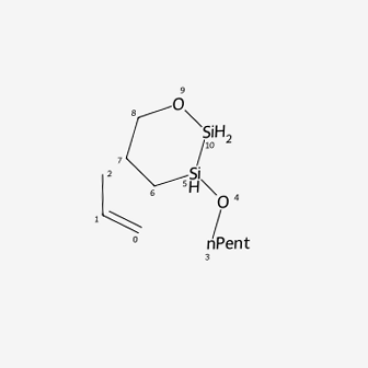 C=CC.CCCCCO[SiH]1CCCO[SiH2]1